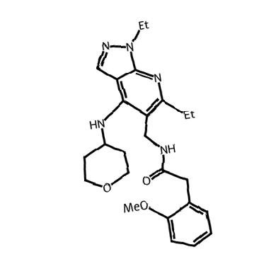 CCc1nc2c(cnn2CC)c(NC2CCOCC2)c1CNC(=O)Cc1ccccc1OC